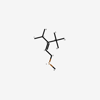 CSC/C=C(/C(C)C)C(C)(C)C